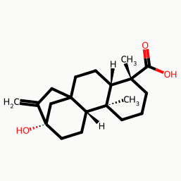 C=C1CC23CC[C@H]4[C@@](C)(CCC[C@@]4(C)C(=O)O)[C@@H]2CC[C@]1(O)C3